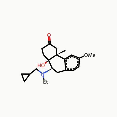 CCN(CC1CC1)[C@@H]1Cc2ccc(OC)cc2[C@@]2(C)CC(=O)CC[C@@]12O